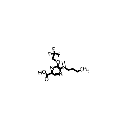 CCCCNc1ncc(C(=O)O)nc1OCC(F)(F)F